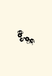 Cc1cc(CN2CCC[C@@H]2c2ccc3c(c2)OCCO3)ccc1-c1ccncc1